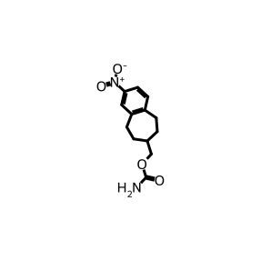 NC(=O)OCC1CCc2ccc([N+](=O)[O-])cc2CC1